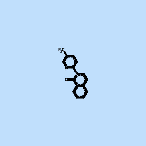 O=c1c2ccccc2ccn1-c1ccc(C(F)(F)F)cn1